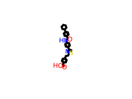 O=C(O)c1ccc(CCc2nc(-c3ccc(NC(=O)c4ccc(C5CCCCC5)cc4)cc3)cs2)cc1